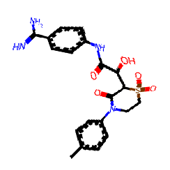 Cc1ccc(N2CCS(=O)(=O)C(C(O)C(=O)Nc3ccc(C(=N)N)cc3)C2=O)cc1